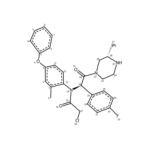 Cc1cc(Oc2ccccc2)ccc1N(C(=O)CCl)[C@@H](C(=O)N1CCN[C@@H](C(C)C)C1)c1ccc(F)cc1